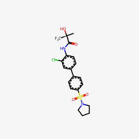 C[C@@](O)(C(=O)Nc1ccc(-c2ccc(S(=O)(=O)N3CCCC3)cc2)cc1Cl)C(F)(F)F